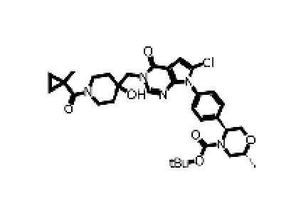 C[C@@H]1CN(C(=O)OC(C)(C)C)[C@@H](c2ccc(-n3c(Cl)cc4c(=O)n(CC5(O)CCN(C(=O)C6(C)CC6)CC5)cnc43)cc2)CO1